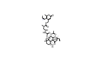 C=C[C@@]1(C)CC(=O)[C@]2(O)[C@@]3(C)[C@@H](O)CCC(C)(C)[C@@H]3[C@H](OC(=O)NNCN(C)C(=O)OCc3cc(=O)oc(C)c3/C=C\C)[C@H](OC(C)=O)[C@@]2(C)O1